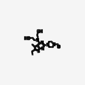 CCc1sc2nc(N3CCN(C=O)CC3)nc(N(CCO)CCO)c2c1C